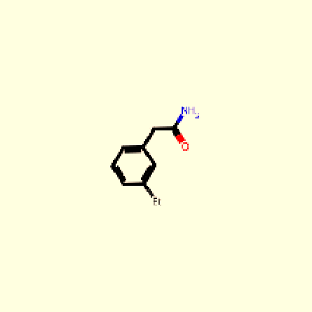 CCc1cccc([CH]C(N)=O)c1